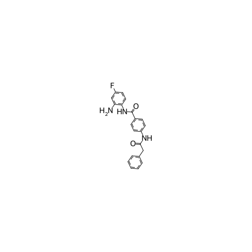 Nc1cc(F)ccc1NC(=O)c1ccc(NC(=O)Cc2ccccc2)cc1